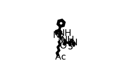 CC(=O)CCCCC[C@H](NC(=O)c1cncs1)c1ncc(-c2ccccc2)[nH]1